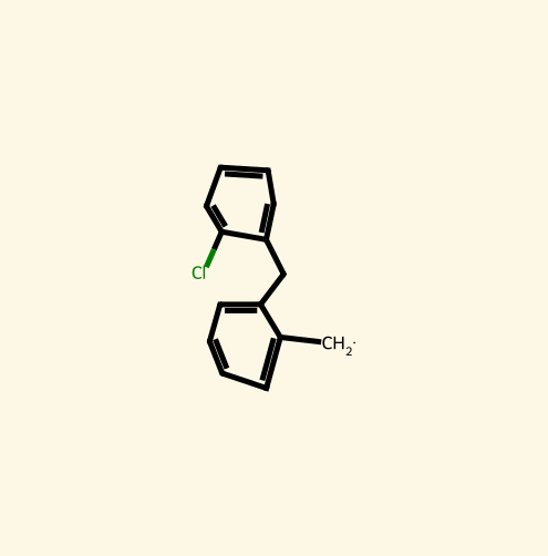 [CH2]c1ccccc1Cc1ccccc1Cl